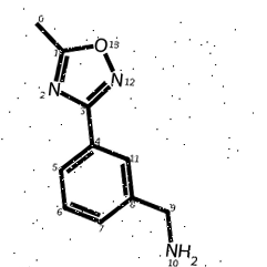 Cc1nc(-c2cccc(CN)c2)no1